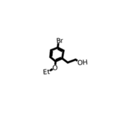 CCOc1ccc(Br)cc1CCO